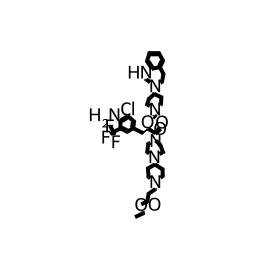 CCOC(=O)CCN1CCC(N2CCN(C(=O)[C@@H](Cc3cc(Cl)c(N)c(C(F)(F)F)c3)OC(=O)N3CCC(N4CCc5ccccc5NC4)CC3)CC2)CC1